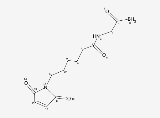 BC(=O)CNC(=O)CCCCCN1C(=O)C=CC1=O